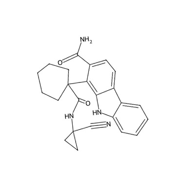 N#CC1(NC(=O)C2(c3c(C(N)=O)ccc4c3[nH]c3ccccc34)CCCCC2)CC1